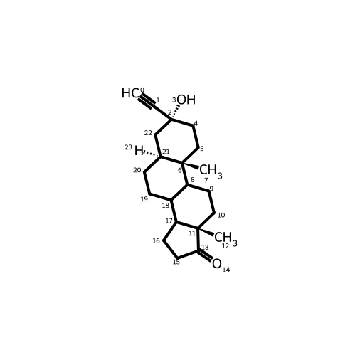 C#C[C@@]1(O)CC[C@]2(C)C3CC[C@]4(C)C(=O)CCC4C3CC[C@H]2C1